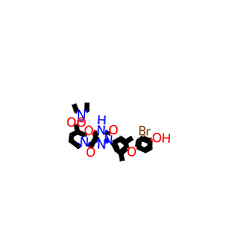 CCN(CC)OC(=O)C1CCCN(C(=O)c2nn(-c3cc(C)c(Oc4ccc(O)c(Br)c4)c(C)c3)c(=O)[nH]c2=O)C1